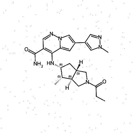 CCC(=O)N1C[C@H]2C[C@@H](Nc3c(C(N)=O)cnn4cc(-c5cnn(C)c5)cc34)[C@@H](C)[C@@H]2C1